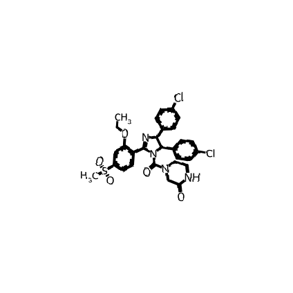 CCOc1cc(S(C)(=O)=O)ccc1C1=NC(c2ccc(Cl)cc2)C(c2ccc(Cl)cc2)N1C(=O)N1CCNC(=O)C1